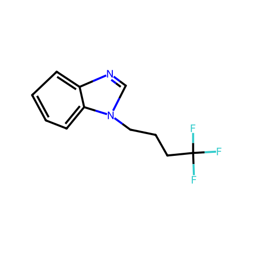 FC(F)(F)CCCn1cnc2ccccc21